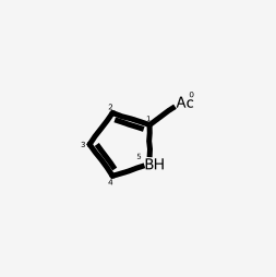 CC(=O)C1=CC=CB1